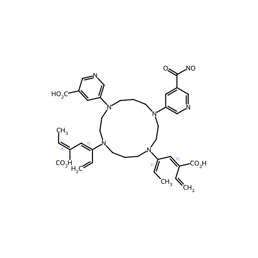 C=C/C(=C\C(=C/C)N1CCCN(/C(C=C)=C/C(=C\C)C(=O)O)CCN(c2cncc(C(=O)O)c2)CCCN(c2cncc(C(=O)N=O)c2)CC1)C(=O)O